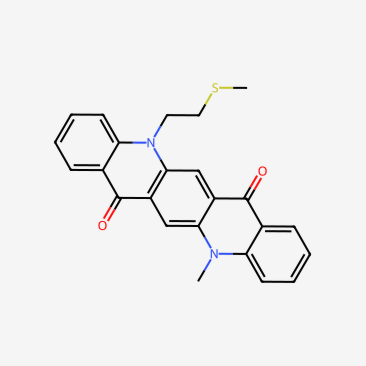 CSCCn1c2ccccc2c(=O)c2cc3c(cc21)c(=O)c1ccccc1n3C